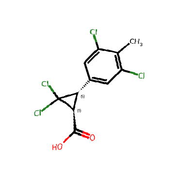 Cc1c(Cl)cc([C@@H]2[C@@H](C(=O)O)C2(Cl)Cl)cc1Cl